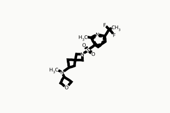 Cc1nc(C(C)(F)F)ccc1S(=O)(=O)N1CC2(CC(N(C)C3COC3)C2)C1